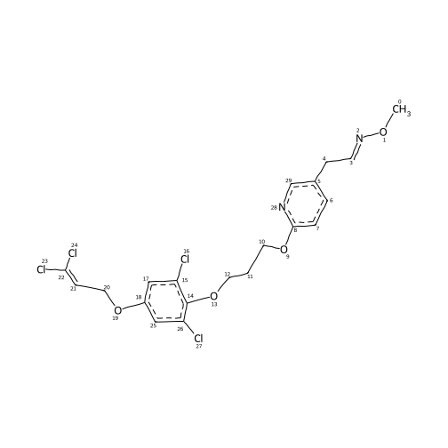 CON=CCc1ccc(OCCCOc2c(Cl)cc(OCC=C(Cl)Cl)cc2Cl)nc1